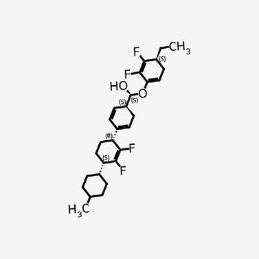 CC[C@H]1CC=C(O[C@H](O)[C@@H]2C=CC([C@H]3CC[C@@H](C4CCC(C)CC4)C(F)=C3F)=CC2)C(F)=C1F